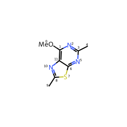 COc1nc(C)nc2sc(C)nc12